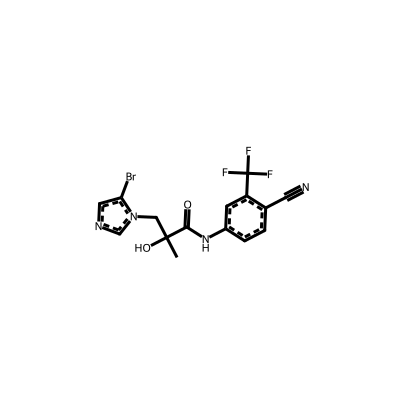 CC(O)(Cn1cncc1Br)C(=O)Nc1ccc(C#N)c(C(F)(F)F)c1